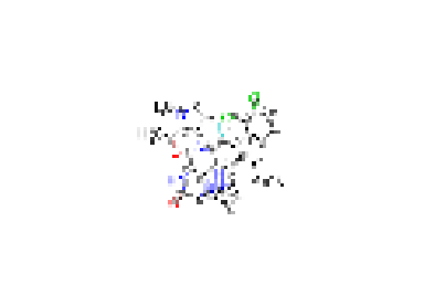 C[C@H](Oc1nc2c(F)c(-c3cccc(Cl)c3Cl)c(CCC#N)cc2c2c1NC(=O)CN2C1C2CNC1C2)[C@@H]1CCCN1C